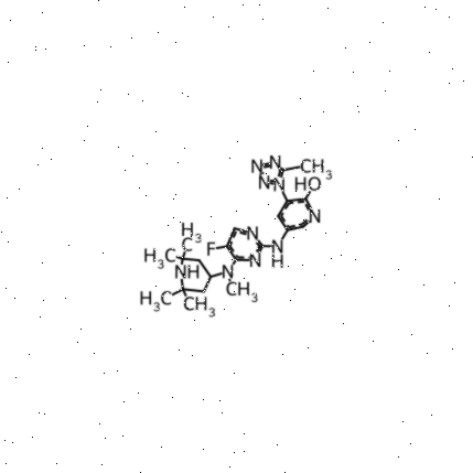 Cc1nnnn1-c1cc(Nc2ncc(F)c(N(C)C3CC(C)(C)NC(C)(C)C3)n2)cnc1O